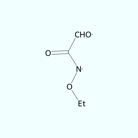 CCO[N]C(=O)[C]=O